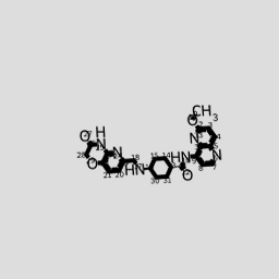 COc1ccc2nccc(NC(=O)[C@H]3CC[C@H](NCc4ccc5c(n4)NC(=O)CO5)CC3)c2n1